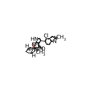 Cn1cc2c(Cl)c(-c3c[nH]c4nc(N5[C@@H]6CC[C@H]5C[C@@](C)(N)C6)n(C)c(=O)c34)ccc2n1